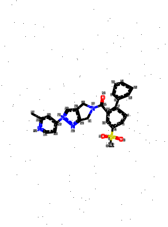 CCS(=O)(=O)c1ccc(-c2ccccc2)c(C(=O)N2Cc3cn(-c4ccnc(C)c4)nc3C2)c1